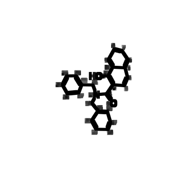 O=C(c1ccc2ccccc2c1O)N(Cc1ccccc1)Cc1ccccc1